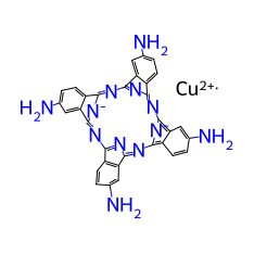 Nc1ccc2c(c1)-c1nc-2nc2[n-]c(nc3nc(nc4[n-]c(n1)c1ccc(N)cc41)-c1ccc(N)cc1-3)c1ccc(N)cc21.[Cu+2]